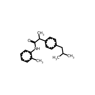 Cc1ccccc1NC(=O)C(C)c1ccc(CC(C)C)cc1